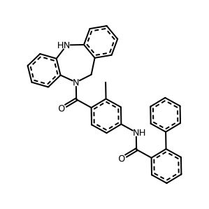 Cc1cc(NC(=O)c2ccccc2-c2ccccc2)ccc1C(=O)N1Cc2ccccc2Nc2ccccc21